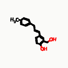 Cc1ccc(C/C=C/c2ccc(O)c(CO)c2)cc1